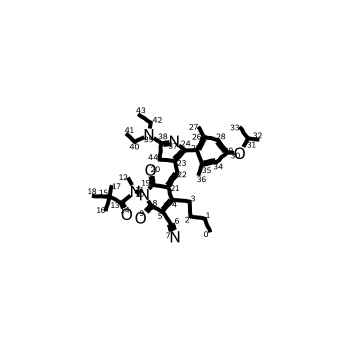 CCCCC1=C(C#N)C(=O)N(N(C)C(=O)C(C)(C)C)C(=O)/C1=C\C1=C(c2c(C)cc(OC(C)C)cc2C)N=C(N(CC)CC)C1